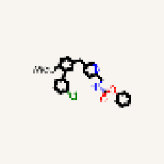 COc1ccc(Cc2ccc(CNC(=O)Oc3ccccc3)nc2)cc1-c1cccc(Cl)c1